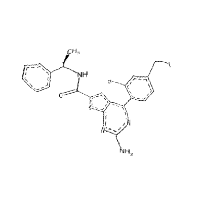 C[C@@H](NC(=O)c1cc2c(-c3ccc(CI)cc3Cl)nc(N)nc2s1)c1ccccc1